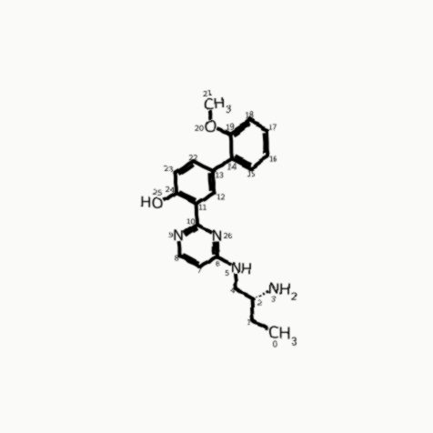 CC[C@@H](N)CNc1ccnc(-c2cc(-c3ccccc3OC)ccc2O)n1